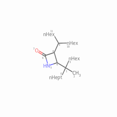 CCCCCCCC(C)(CCCCCC)C1NC(=O)C1C(CCCCCC)CCCCCC